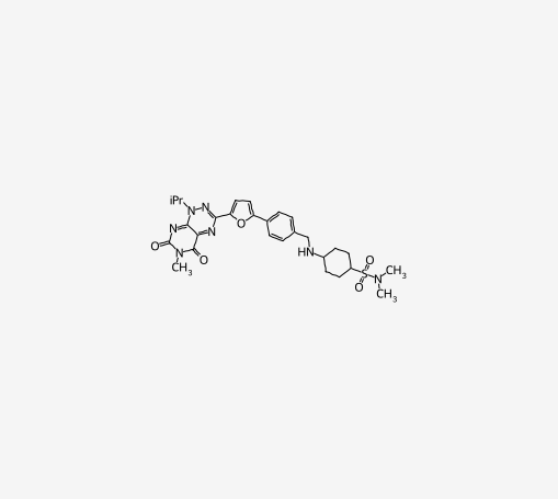 CC(C)n1nc(-c2ccc(-c3ccc(CNC4CCC(S(=O)(=O)N(C)C)CC4)cc3)o2)nc2c(=O)n(C)c(=O)nc1-2